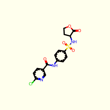 O=C(Nc1ccc(S(=O)(=O)NC2CCOC2=O)cc1)c1ccc(Cl)nc1